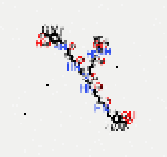 COC(=O)c1ccc(CCNC(=O)CCCC(=O)NCCN(CCNC(=O)CCCC(=O)NCc2ccc(C(=O)OC)c(O)c2)C(=O)CCCC(=O)NNC(=O)OC(C)(C)C)cc1O